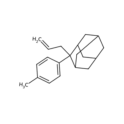 C=CCC1(c2ccc(C)cc2)C2CC3CC(C2)CC1C3